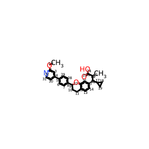 COc1cc(-c2ccc(C3CCc4ccc([C@H](C5CC5)[C@H](C)C(=O)O)cc4O3)cc2)ccn1